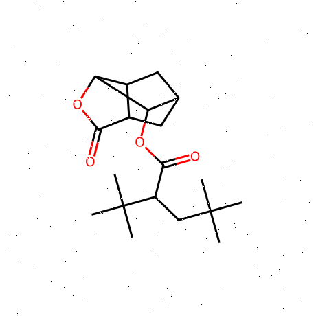 CC(C)(C)CC(C(=O)OC1C2CC3C(=O)OC1C3C2)C(C)(C)C